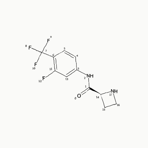 O=C(Nc1ccc(C(F)(F)F)c(F)c1)[C@@H]1CCN1